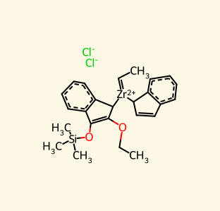 C[CH]=[Zr+2]([CH]1C=Cc2ccccc21)[CH]1C(OCC)=C(O[Si](C)(C)C)c2ccccc21.[Cl-].[Cl-]